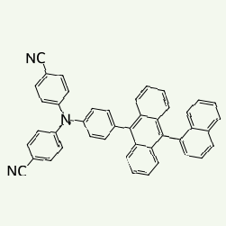 N#Cc1ccc(N(c2ccc(C#N)cc2)c2ccc(-c3c4ccccc4c(-c4cccc5ccccc45)c4ccccc34)cc2)cc1